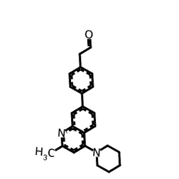 Cc1cc(N2CCCCC2)c2ccc(-c3ccc(CC=O)cc3)cc2n1